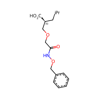 CC(C)C[C@@H](COCC(=O)NOCc1ccccc1)C(=O)O